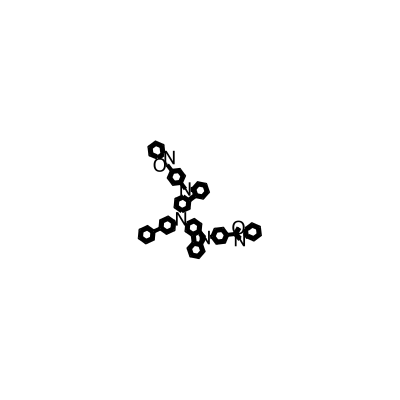 c1ccc(-c2ccc(N(c3ccc4c(c3)c3ccccc3n4-c3ccc(-c4nc5ccccc5o4)cc3)c3ccc4c(c3)c3ccccc3n4-c3ccc(-c4nc5ccccc5o4)cc3)cc2)cc1